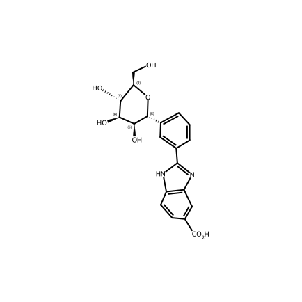 O=C(O)c1ccc2[nH]c(-c3cccc([C@H]4O[C@H](CO)[C@@H](O)[C@H](O)[C@@H]4O)c3)nc2c1